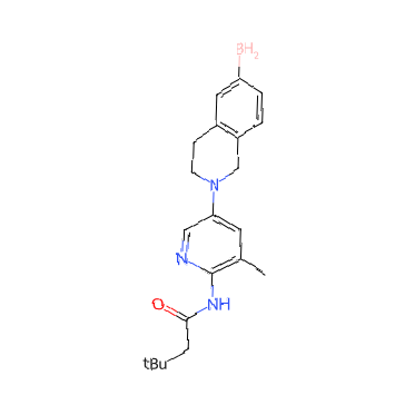 Bc1ccc2c(c1)CCN(c1cnc(NC(=O)CC(C)(C)C)c(C)c1)C2